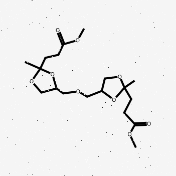 COC(=O)CCC1(C)OCC(COCC2COC(C)(CCC(=O)OC)O2)O1